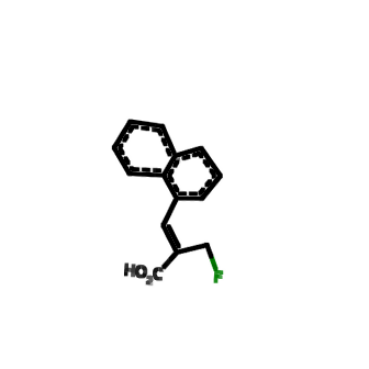 O=C(O)C(=Cc1cccc2ccccc12)CF